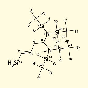 CC(C)(C)[Si](C)(C)N(C(CC=C[SiH3])N([Si](C)(C)C(C)(C)C)[Si](C)(C)C(C)(C)C)[Si](C)(C)C(C)(C)C